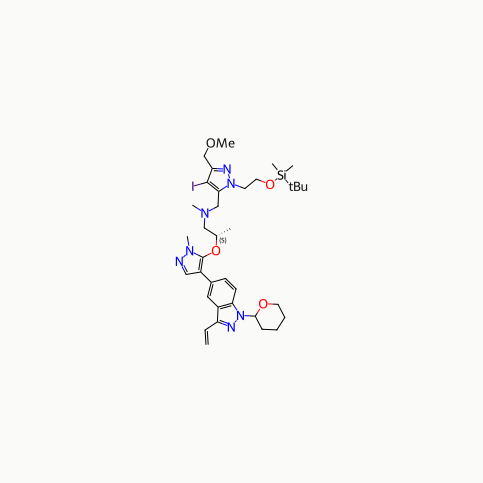 C=Cc1nn(C2CCCCO2)c2ccc(-c3cnn(C)c3O[C@@H](C)CN(C)Cc3c(I)c(COC)nn3CCO[Si](C)(C)C(C)(C)C)cc12